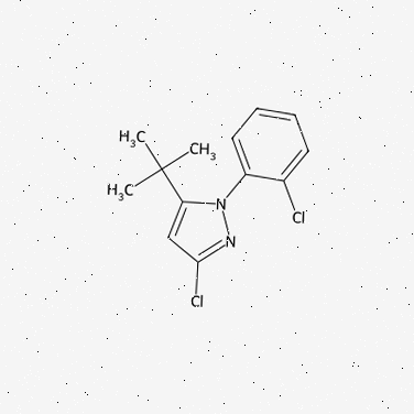 CC(C)(C)c1cc(Cl)nn1-c1ccccc1Cl